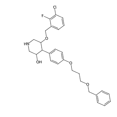 OC1CNCC(OCc2cccc(Cl)c2F)C1c1ccc(OCCCOCc2ccccc2)cc1